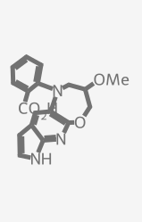 COC1COc2nc3[nH]ccc3cc2N(c2ccccc2C(=O)O)C1